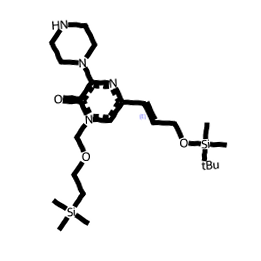 CC(C)(C)[Si](C)(C)OC/C=C/c1cn(COCC[Si](C)(C)C)c(=O)c(N2CCNCC2)n1